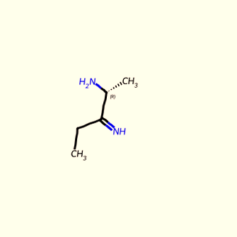 CCC(=N)[C@@H](C)N